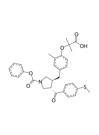 CSc1ccc(C(=O)[C@@H]2CN(C(=O)Oc3ccccc3)C[C@H]2Cc2ccc(OC(C)(C)C(=O)O)c(C)c2)cc1